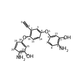 C#Cc1cc(Oc2ccc(N)c(O)c2)ccc1Oc1ccc(N)c(O)c1